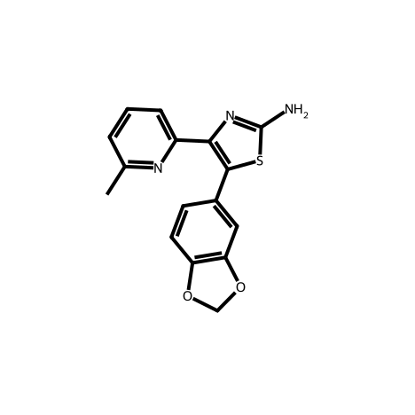 Cc1cccc(-c2nc(N)sc2-c2ccc3c(c2)OCO3)n1